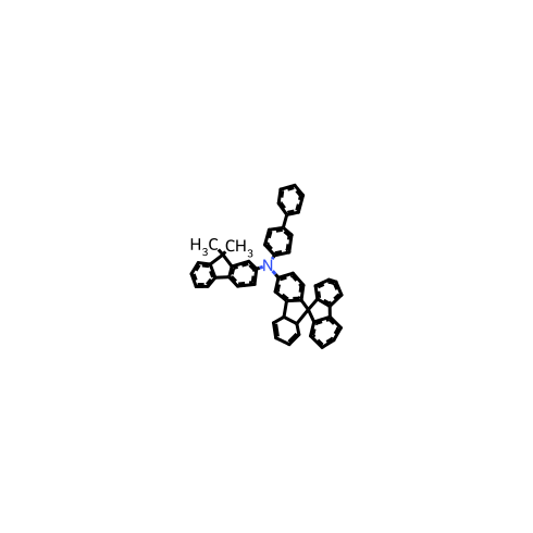 CC1(C)c2ccccc2-c2ccc(N(c3ccc(-c4ccccc4)cc3)c3ccc4c(c3)C3C=CC=CC3C43c4ccccc4-c4ccccc43)cc21